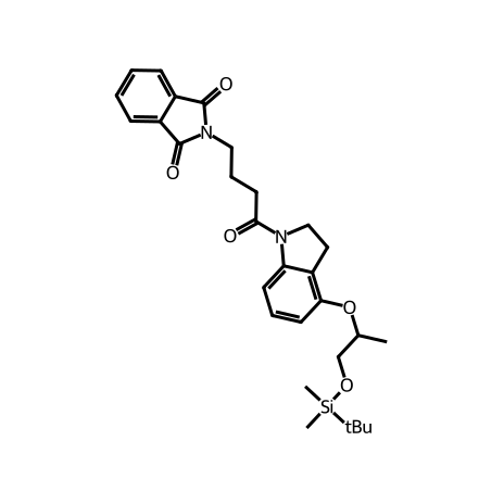 CC(CO[Si](C)(C)C(C)(C)C)Oc1cccc2c1CCN2C(=O)CCCN1C(=O)c2ccccc2C1=O